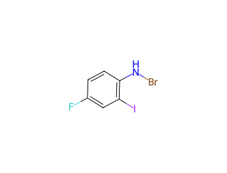 Fc1ccc(NBr)c(I)c1